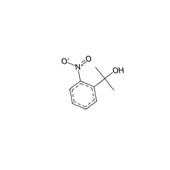 CC(C)(O)c1ccccc1[N+](=O)[O-]